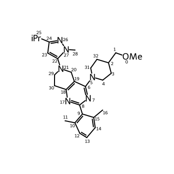 COCC1CCN(c2nc(-c3c(C)cccc3C)nc3c2CN(c2cc(C(C)C)nn2C)CC3)CC1